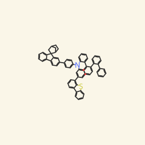 c1ccc(-c2ccccc2-c2ccccc2-c2ccccc2N(c2ccc(-c3ccc4c(c3)C3(CC5CCC3C5)c3ccccc3-4)cc2)c2cccc(-c3cccc4c3sc3ccccc34)c2)cc1